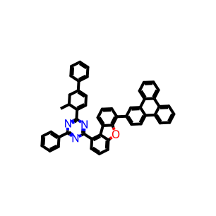 CC1CC(c2ccccc2)=CC=C1c1nc(-c2ccccc2)nc(-c2cccc3oc4c(-c5ccc6c7ccccc7c7ccccc7c6c5)cccc4c23)n1